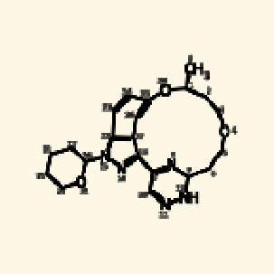 C[C@H]1CCOCCC2N=C(C=NN2)c2nn(C3CCCCO3)c3ccc(cc23)O1